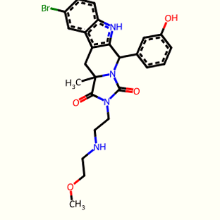 COCCNCCN1C(=O)N2C(c3cccc(O)c3)c3[nH]c4ccc(Br)cc4c3CC2(C)C1=O